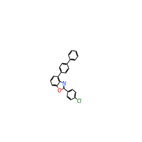 Clc1ccc(-c2nc3c(-c4ccc(-c5ccccc5)cc4)cccc3o2)cc1